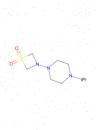 CC(C)N1CCN(N2CS(=O)(=O)C2)CC1